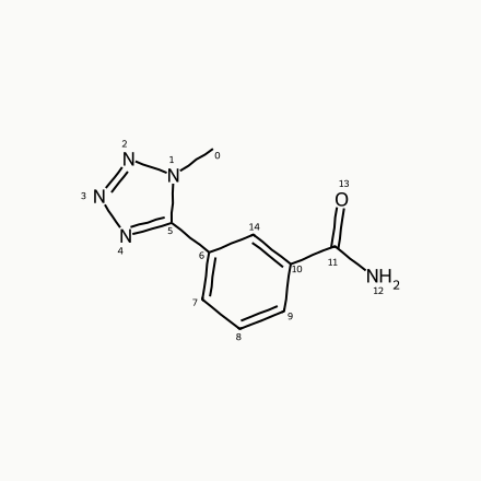 Cn1nnnc1-c1cccc(C(N)=O)c1